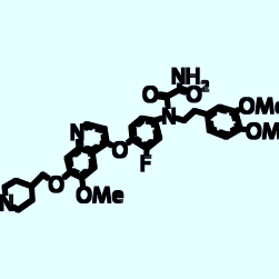 COc1ccc(CCN(C(=O)C(N)=O)c2ccc(Oc3ccnc4cc(OCC5CCNCC5)c(OC)cc34)c(F)c2)cc1OC